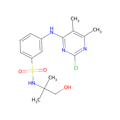 Cc1nc(Cl)nc(Nc2cccc(S(=O)(=O)NC(C)(C)CO)c2)c1C